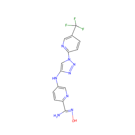 N/C(=N\O)c1ccc(Nc2cn(-c3ccc(C(F)(F)F)cn3)nn2)cn1